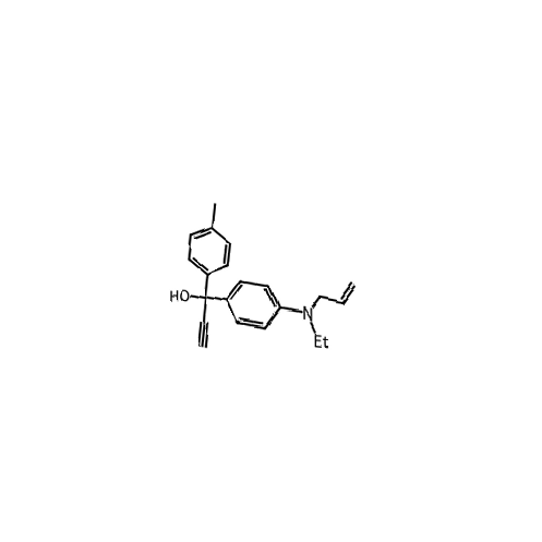 C#CC(O)(c1ccc(C)cc1)c1ccc(N(CC)CC=C)cc1